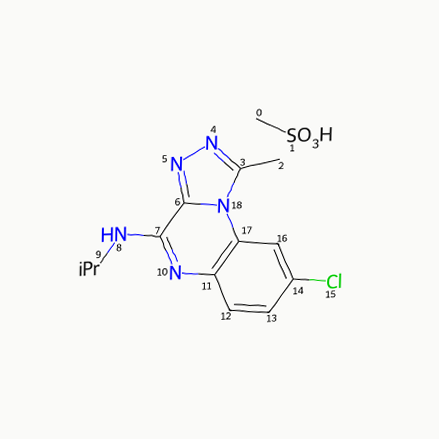 CS(=O)(=O)O.Cc1nnc2c(NC(C)C)nc3ccc(Cl)cc3n12